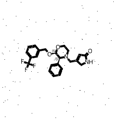 O=C1C=C(CN2CCO[C@H](OCc3cccc(C(F)(F)F)c3)[C@@H]2c2ccccc2)CN1